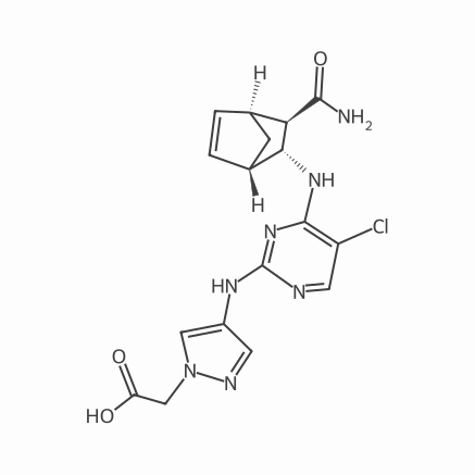 NC(=O)[C@H]1[C@H](Nc2nc(Nc3cnn(CC(=O)O)c3)ncc2Cl)[C@@H]2C=C[C@@H]1C2